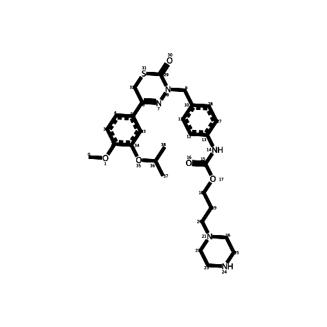 COc1ccc(C2=NN(Cc3ccc(NC(=O)OCCCN4CCNCC4)cc3)C(=O)SC2)cc1OC(C)C